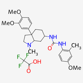 COc1ccc(NC(=O)NC2CCC3(c4ccc(OC)c(OC)c4)CCN(C)C3C2)c(C)c1.O=C(O)C(F)(F)F